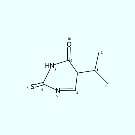 CC(C)C1C=NC(=S)NC1=O